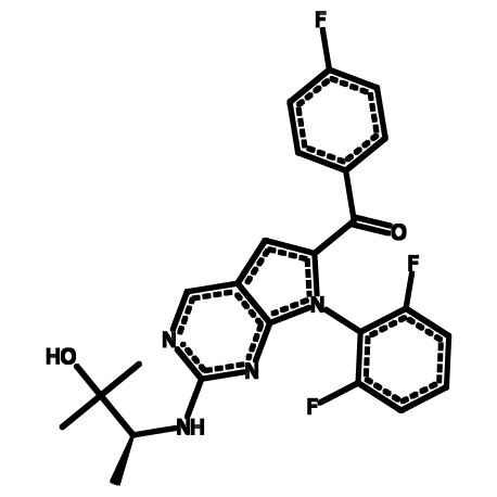 C[C@H](Nc1ncc2cc(C(=O)c3ccc(F)cc3)n(-c3c(F)cccc3F)c2n1)C(C)(C)O